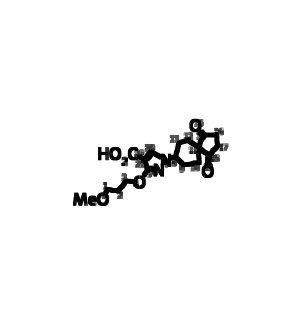 COCCCOc1nn(C2CCC3(CC2)C(=O)CCC3=O)cc1C(=O)O